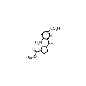 CC(C)(C)OC(=O)N1CCC(Nc2nc(C(=O)O)ccc2N)C1